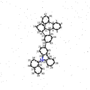 c1ccc(-c2ccccc2[C@@H]2c3ccccc3-c3cc(-c4ccc5c(c4)c4ccccc4n5-c4cccc5ccccc45)ccc32)cc1